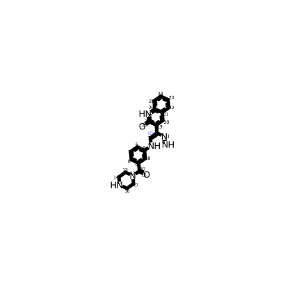 N=N/C(=C\Nc1cccc(C(=O)N2CCNCC2)c1)c1cc2ccccc2[nH]c1=O